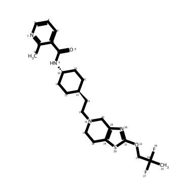 Cc1ncccc1C(=O)N[C@H]1CC[C@H](CCN2CCc3sc(OCC(C)(F)F)nc3C2)CC1